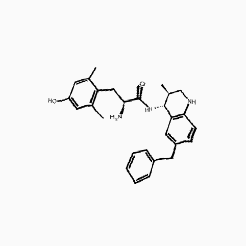 Cc1cc(O)cc(C)c1C[C@H](N)C(=O)N[C@H]1c2cc(Cc3ccccc3)ccc2NC[C@@H]1C